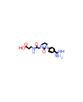 N=C(N)c1ccc(N2CCCN(CC(=O)NCCC(=O)O)C2=O)cc1